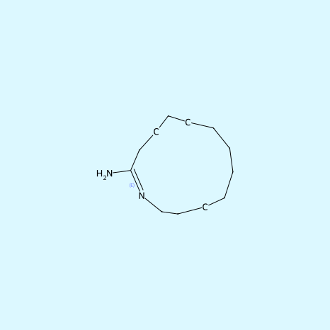 N/C1=N/CCCCCCCCCCC1